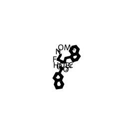 CON=CC(F)C(OC(=O)c1ccc2ccccc2c1)C(Br)Cc1c(C(=O)O)ccc2ccccc12